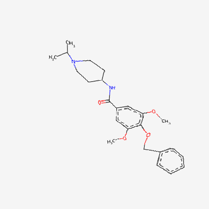 COc1cc(C(=O)NC2CCN(C(C)C)CC2)cc(OC)c1OCc1ccccc1